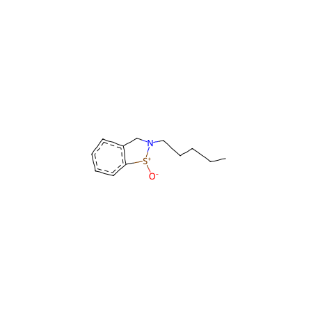 CCCCCN1Cc2ccccc2[S+]1[O-]